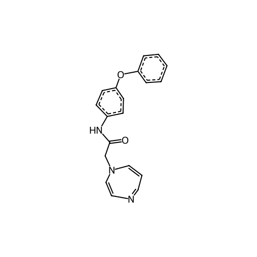 O=C(CN1C=CC=NC=C1)Nc1ccc(Oc2ccccc2)cc1